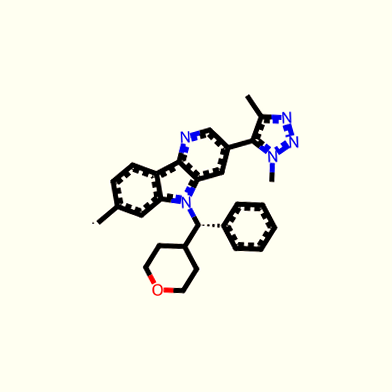 [CH2]c1ccc2c3ncc(-c4c(C)nnn4C)cc3n([C@H](c3ccccc3)C3CCOCC3)c2c1